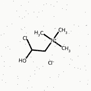 C[N+](C)(C)CC(O)Cl.[Cl-]